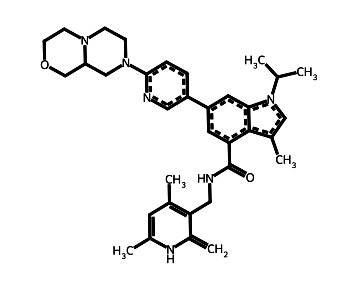 C=C1NC(C)=CC(C)=C1CNC(=O)c1cc(-c2ccc(N3CCN4CCOCC4C3)nc2)cc2c1c(C)cn2C(C)C